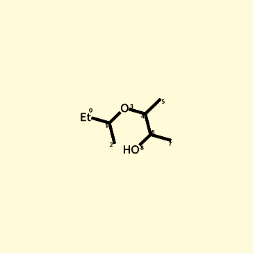 CCC(C)OC(C)C(C)O